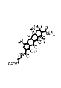 CC(=O)NCCNC(=O)c1cc(N(C)C)c2c(c1O)C(=O)C1=C(O)[C@]3(O)C(=O)C(C(N)=O)=C(O)[C@@H](N(C)C)[C@@H]3C[C@@H]1C2